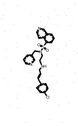 O=S(=O)(c1cccc2cnccc12)N(CCNCC=Cc1ccc(Cl)cc1)Cc1cccnc1